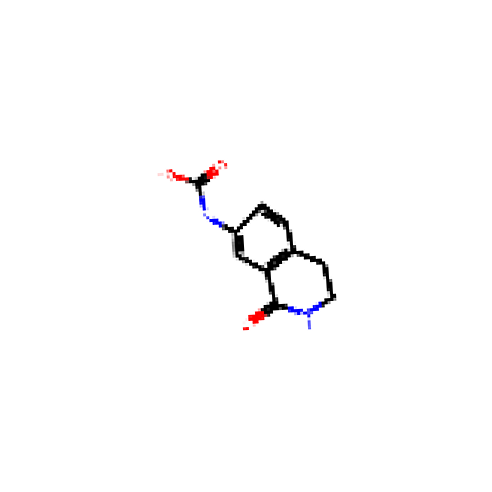 O=C(O)Nc1ccc2c(c1)C(=O)NCC2